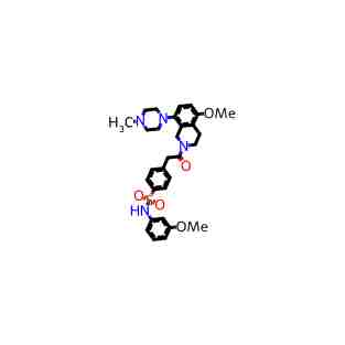 COc1cccc(NS(=O)(=O)c2ccc(CC(=O)N3CCc4c(OC)ccc(N5CCN(C)CC5)c4C3)cc2)c1